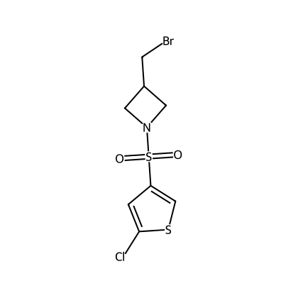 O=S(=O)(c1csc(Cl)c1)N1CC(CBr)C1